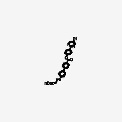 CCCCCCCCCCCCSc1ccc(-c2ccc(C(=O)Oc3ccc(-c4ncc(CC)cn4)cc3)cc2)cc1